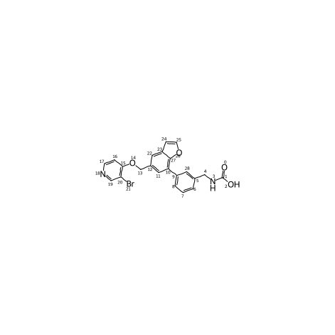 O=C(O)NCc1cccc(-c2cc(COc3ccncc3Br)cc3ccoc23)c1